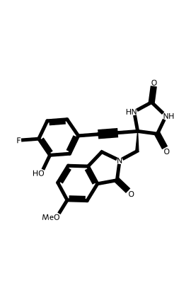 COc1ccc2c(c1)C(=O)N(C[C@@]1(C#Cc3ccc(F)c(O)c3)NC(=O)NC1=O)C2